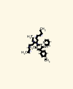 C=C/C=C\C=C/CC(/C(=C\CC)C/C=C\C=C/C)=C1\N=C(Nc2ccccn2)C(c2ccc(OC)cc2)=CN1C